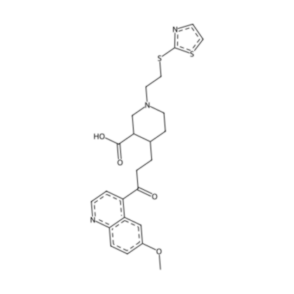 COc1ccc2nccc(C(=O)CCC3CCN(CCSc4nccs4)CC3C(=O)O)c2c1